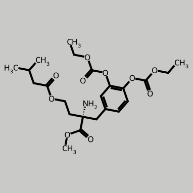 CCOC(=O)Oc1ccc(C[C@](N)(CCOC(=O)CC(C)C)C(=O)OC)cc1OC(=O)OCC